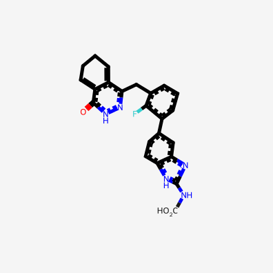 O=C(O)Nc1nc2cc(-c3cccc(Cc4n[nH]c(=O)c5c4=CCCC=5)c3F)ccc2[nH]1